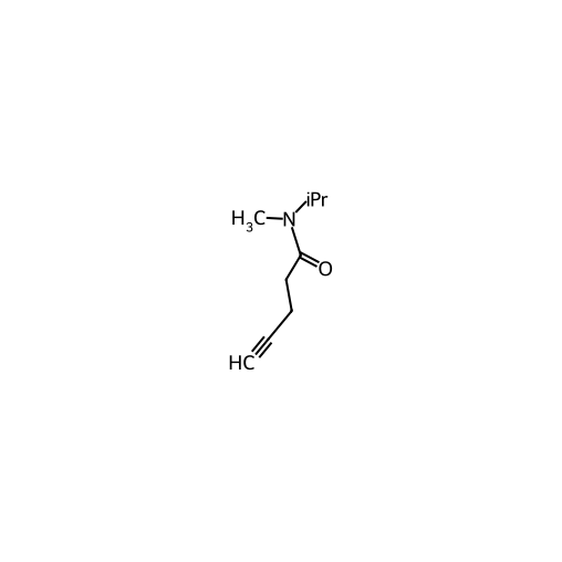 C#CCCC(=O)N(C)C(C)C